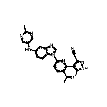 CC(=O)c1ccc(-n2cnc3cc(Nc4cnc(C)nc4)ccc32)nc1-c1c(C#N)n[nH]c1C